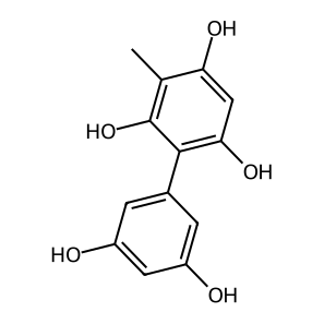 Cc1c(O)cc(O)c(-c2cc(O)cc(O)c2)c1O